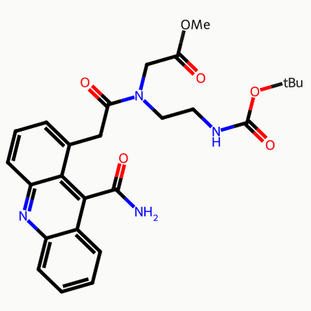 COC(=O)CN(CCNC(=O)OC(C)(C)C)C(=O)Cc1cccc2nc3ccccc3c(C(N)=O)c12